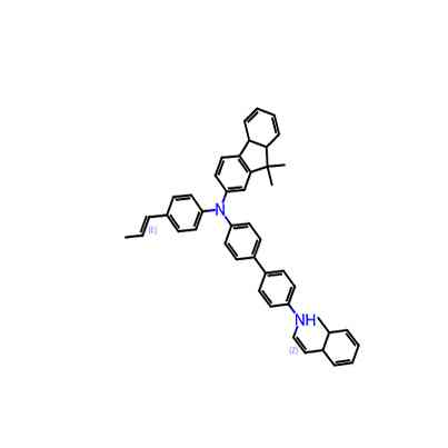 C/C=C/c1ccc(N(c2ccc(-c3ccc(N/C=C\C4C=CC=CC4C)cc3)cc2)c2ccc3c(c2)C(C)(C)C2C=CC=CC32)cc1